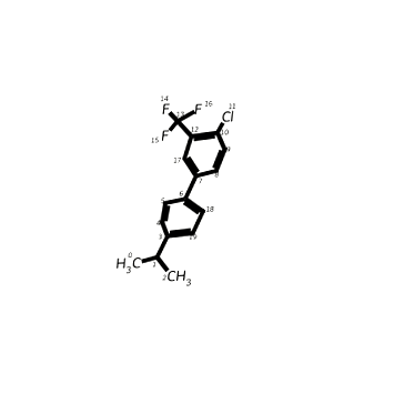 CC(C)c1ccc(-c2ccc(Cl)c(C(F)(F)F)c2)cc1